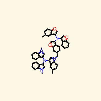 Cc1ccc2occ(N(c3coc4ccccc34)c3coc4cc(Cn5cc(N(c6cn(C)c7ccccc67)c6cn(C)c7ccccc67)c6cc(C)ccc65)ccc34)c2c1